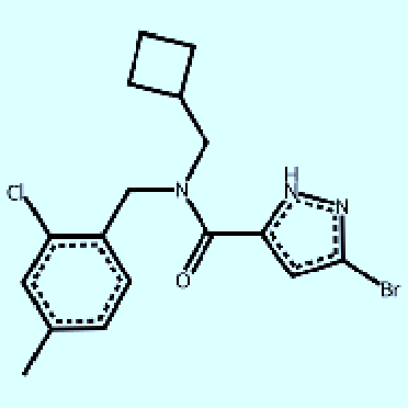 Cc1ccc(CN(CC2CCC2)C(=O)c2cc(Br)n[nH]2)c(Cl)c1